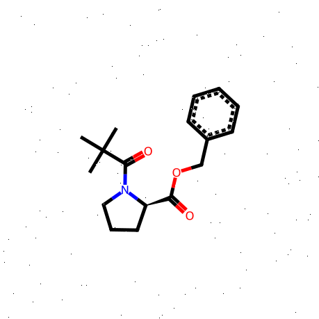 CC(C)(C)C(=O)N1CCC[C@@H]1C(=O)OCc1ccccc1